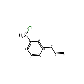 C=CCc1cccc([SiH2]Cl)c1